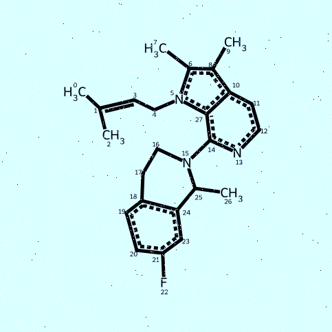 CC(C)=CCn1c(C)c(C)c2ccnc(N3CCc4ccc(F)cc4C3C)c21